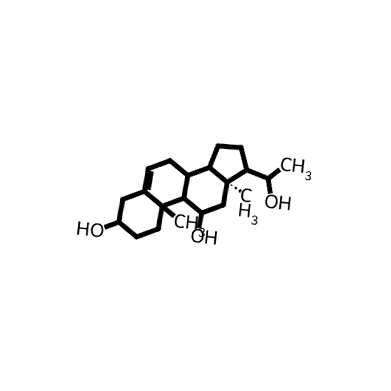 CC(O)C1CCC2C3CC=C4CC(O)CCC4(C)C3C(O)C[C@]12C